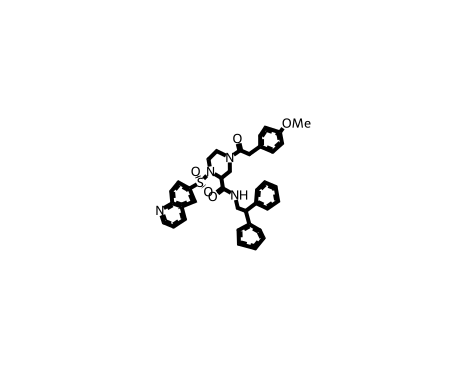 COc1ccc(CC(=O)N2CCN(S(=O)(=O)c3ccc4ncccc4c3)C(C(=O)NCC(c3ccccc3)c3ccccc3)C2)cc1